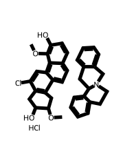 COc1c(O)ccc2ccc3c4c(c(Cl)cc3c12)CC(O)C(OC)C4.Cl.c1ccc2c(c1)CC1c3ccccc3CCN1C2